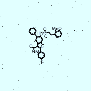 CNC(=O)c1c(-c2ccc(F)cc2)oc2cc(NS(=O)(=O)CCc3ccccc3OC)c(-c3ccccc3)cc12